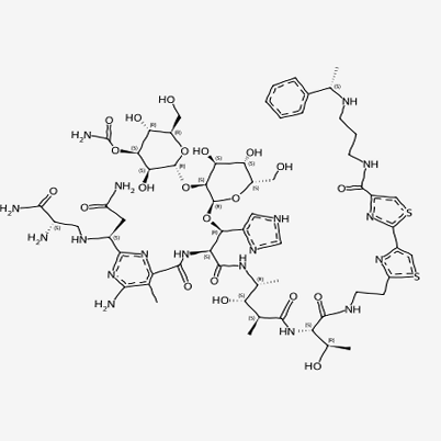 Cc1c(N)nc([C@H](CC(N)=O)NC[C@H](N)C(N)=O)nc1C(=O)N[C@H](C(=O)N[C@H](C)[C@@H](O)[C@H](C)C(=O)N[C@H](C(=O)NCCc1nc(-c2nc(C(=O)NCCCN[C@@H](C)c3ccccc3)cs2)cs1)[C@@H](C)O)[C@@H](O[C@@H]1O[C@@H](CO)[C@@H](O)[C@H](O)[C@@H]1O[C@H]1O[C@H](CO)[C@@H](O)[C@H](OC(N)=O)[C@@H]1O)c1c[nH]cn1